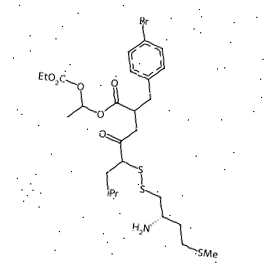 CCOC(=O)OC(C)OC(=O)C(CC(=O)C(CC(C)C)SSC[C@@H](N)CCSC)Cc1ccc(Br)cc1